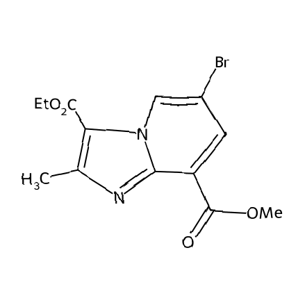 CCOC(=O)c1c(C)nc2c(C(=O)OC)cc(Br)cn12